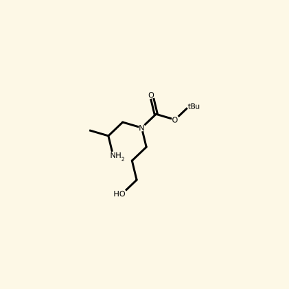 CC(N)CN(CCCO)C(=O)OC(C)(C)C